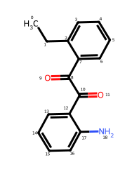 CCc1ccccc1C(=O)C(=O)c1ccccc1N